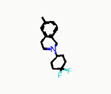 Cc1ccc2c(c1)CCN(C1CCC(F)(F)CC1)C2